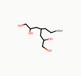 [CH2]CCCCCCCCC[C](CC(O)CO)CC(O)CO